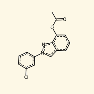 CC(=O)Oc1cccc2cn(-c3cccc(Cl)c3)nc12